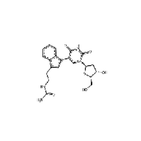 NC(=O)NCCc1cn(-c2cn([C@H]3C[C@H](O)[C@@H](CO)O3)c(=O)[nH]c2=O)c2ccccc12